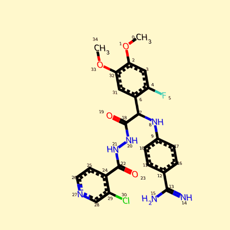 COc1cc(F)c(C(Nc2ccc(C(=N)N)cc2)C(=O)NNC(=O)c2ccncc2Cl)cc1OC